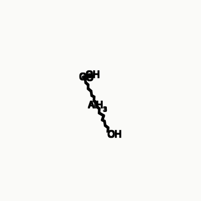 O=C(CCCCCCCCCCCCCCCCCO)OO.[AlH3]